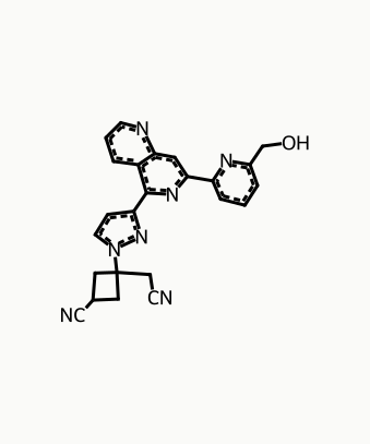 N#CCC1(n2ccc(-c3nc(-c4cccc(CO)n4)cc4ncccc34)n2)CC(C#N)C1